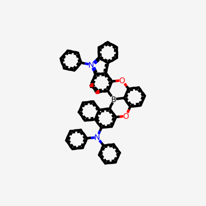 c1ccc(N(c2ccccc2)c2cc3c(c4ccccc24)B2c4c(cccc4Oc4c2c2ccccc2c2c4c4ccccc4n2-c2ccccc2)O3)cc1